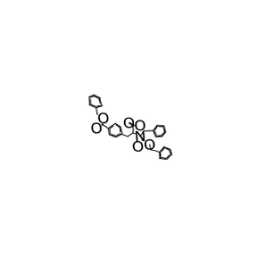 O=C(OCc1ccccc1)c1ccc(CC2C(=O)OC(c3ccccc3)N2C(=O)OCc2ccccc2)cc1